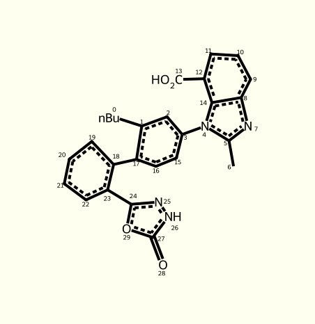 CCCCc1cc(-n2c(C)nc3cccc(C(=O)O)c32)ccc1-c1ccccc1-c1n[nH]c(=O)o1